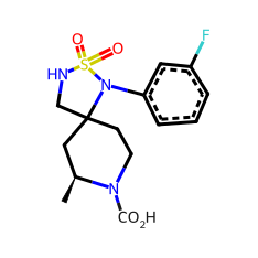 C[C@H]1CC2(CCN1C(=O)O)CNS(=O)(=O)N2c1cccc(F)c1